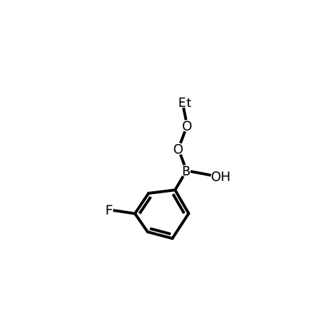 CCOOB(O)c1cccc(F)c1